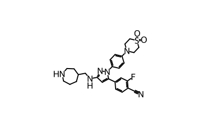 N#Cc1ccc(-c2cc(NCC3CCCNCC3)nn2-c2ccc(N3CCS(=O)(=O)CC3)cc2)cc1F